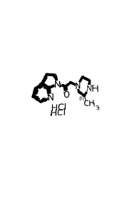 C[C@@H]1CN(CC(=O)N2CCc3cccnc32)CCN1.Cl.Cl